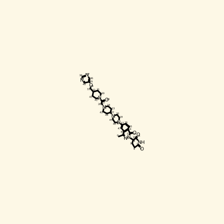 Cc1nn(C2CCC(=O)NC2=O)c(=O)c2ccc(N3CCN(C4CCN(CC(=O)N5CCC(COc6cncnc6)CC5)CC4)CC3)cc12